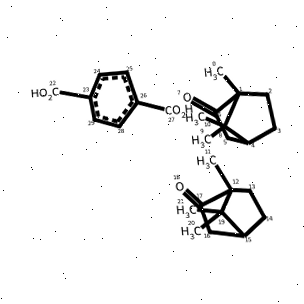 CC12CCC(CC1=O)C2(C)C.CC12CCC(CC1=O)C2(C)C.O=C(O)c1ccc(C(=O)O)cc1